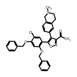 CC(=O)c1noc(-c2cc(Cl)c(OCc3ccccc3)cc2OCc2ccccc2)c1-c1ccc2c(c1)CCN(C)C2